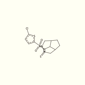 O=S(=O)(NC1C2CCC1CC(=S)NC2)c1ccc(Cl)s1